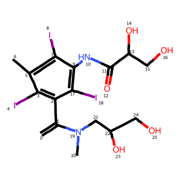 C=C(c1c(I)c(C)c(I)c(NC(=O)C(O)CO)c1I)N(C)CC(O)CO